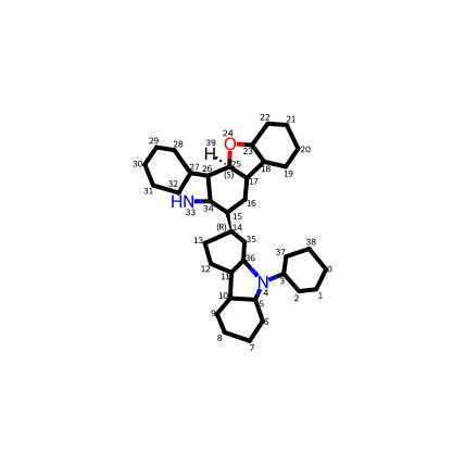 C1CCC(N2C3CCCCC3C3CC[C@@H](C4CC5C6CCCCC6O[C@@H]5C5C6CCCCC6NC45)CC32)CC1